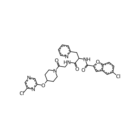 O=C(NC(Cc1ccccn1)C(=O)NCC(=O)N1CCC(Oc2cncc(Cl)n2)CC1)c1cc2cc(Cl)ccc2o1